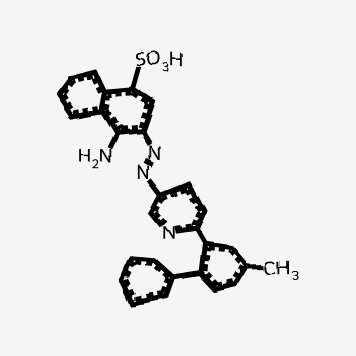 Cc1ccc(-c2ccccc2)c(-c2ccc(N=Nc3cc(S(=O)(=O)O)c4ccccc4c3N)cn2)c1